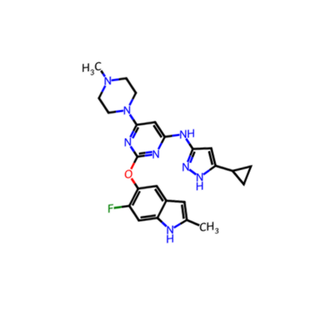 Cc1cc2cc(Oc3nc(Nc4cc(C5CC5)[nH]n4)cc(N4CCN(C)CC4)n3)c(F)cc2[nH]1